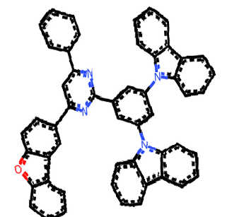 c1ccc(-c2cc(-c3ccc4oc5ccccc5c4c3)nc(-c3cc(-n4c5ccccc5c5ccccc54)cc(-n4c5ccccc5c5ccccc54)c3)n2)cc1